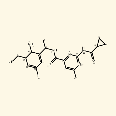 Cc1cc(C(=O)NC(C)C2=CC(F)=CC(CF)C2N)nc(NC(=O)C2CC2)n1